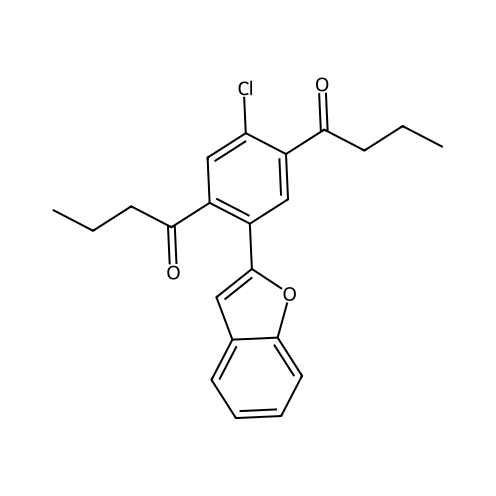 CCCC(=O)c1cc(-c2cc3ccccc3o2)c(C(=O)CCC)cc1Cl